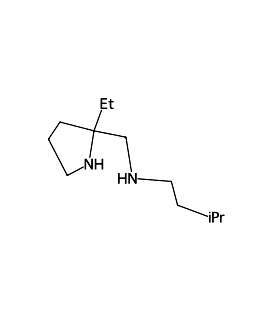 CCC1(CNCCC(C)C)CCCN1